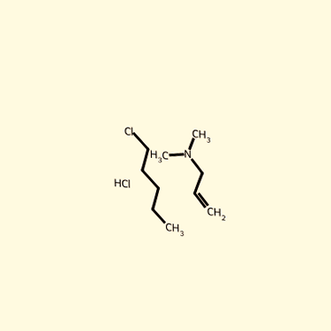 C=CCN(C)C.CCCCCCl.Cl